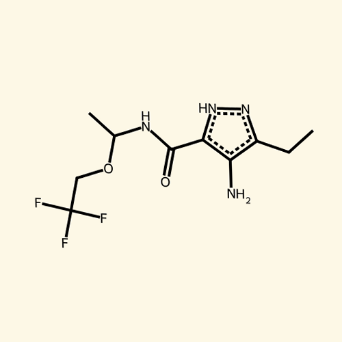 CCc1n[nH]c(C(=O)NC(C)OCC(F)(F)F)c1N